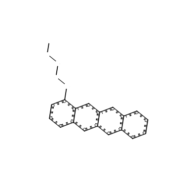 F[Se][Se][Se][Se]c1cccc2cc3cc4ccccc4cc3cc12